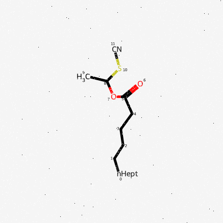 CCCCCCCCCCCC(=O)OC(C)SC#N